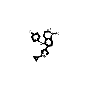 CC(=O)N1c2ccc(-c3cnn(C4CC4)c3)c(Oc3ccc(F)cc3)c2CC[C@@H]1C